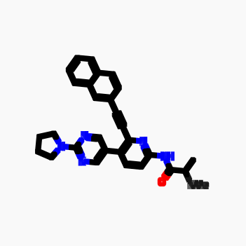 CNC(C)C(=O)Nc1ccc(-c2cnc(N3CCCC3)nc2)c(C#Cc2ccc3ccccc3c2)n1